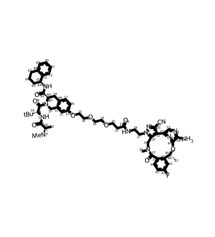 CN[C@H](C)C(=O)N[C@@H](C(=O)N1Cc2cc(OCCOCCOCCC(=O)NCCn3nc(C#N)c4c3CN(C)C(=O)c3ccc(F)cc3[C@@H](C)Oc3nc-4cnc3N)ccc2C[C@@H]1C(=O)N[C@H]1CCCc2ccccc21)C(C)(C)C